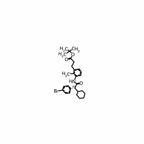 Cc1c(CCC(=O)OC(C)(C)C)cccc1NC(=O)[C@@H](c1ccc(Br)cc1)C1CCCCC1